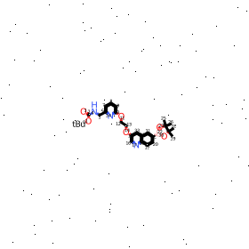 CC(C)(C)OC(=O)NCc1cccc(OCCOc2cnc3ccc(B4OC(C)(C)C(C)(C)O4)cc3c2)n1